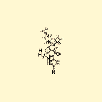 CC1(C)c2cc(N3CCN(C4CC4)CC3)c(-c3cccs3)cc2C(=O)c2c1[nH]c1cc(C#N)ccc21